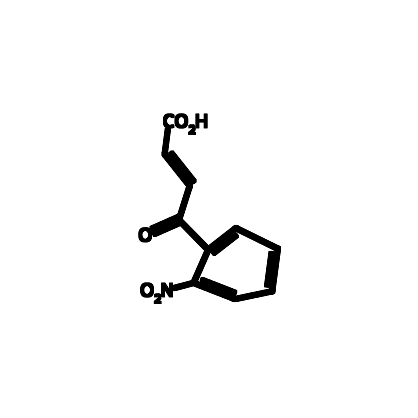 O=C(O)C=CC(=O)c1ccccc1[N+](=O)[O-]